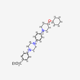 CCOC(=O)c1ccc(N2CCN(c3ccc(N4CCC(OC5CCCCC5)CC4)cc3)CC2)cc1